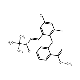 COC(=O)c1ccccc1Sc1c(Cl)cc(Cl)cc1C=N[S+]([O-])C(C)(C)C